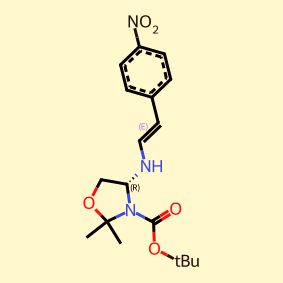 CC(C)(C)OC(=O)N1[C@@H](N/C=C/c2ccc([N+](=O)[O-])cc2)COC1(C)C